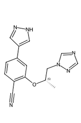 C[C@@H](Cn1cncn1)Oc1cc(-c2cn[nH]c2)ccc1C#N